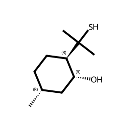 C[C@@H]1CC[C@@H](C(C)(C)S)[C@H](O)C1